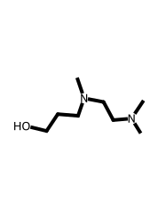 CN(C)CCN(C)CCCO